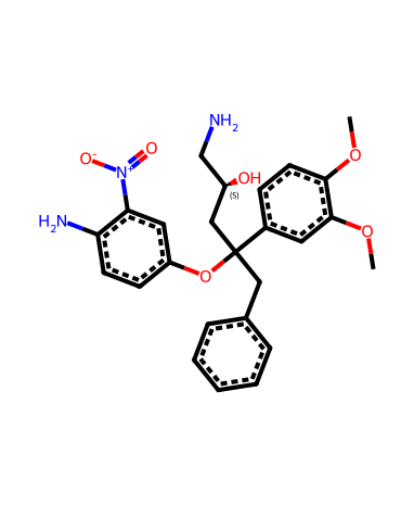 COc1ccc(C(Cc2ccccc2)(C[C@H](O)CN)Oc2ccc(N)c([N+](=O)[O-])c2)cc1OC